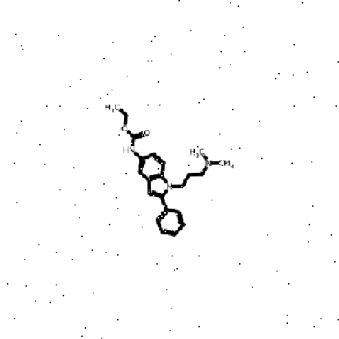 CCOC(=O)Nc1ccc2c(c1)cc(-c1ccccc1)n2CCCN(C)C